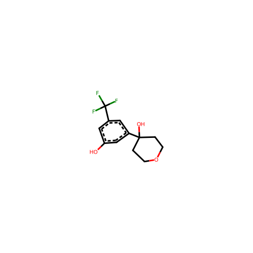 Oc1cc(C(F)(F)F)cc(C2(O)CCOCC2)c1